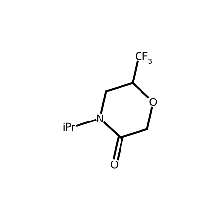 CC(C)N1CC(C(F)(F)F)OCC1=O